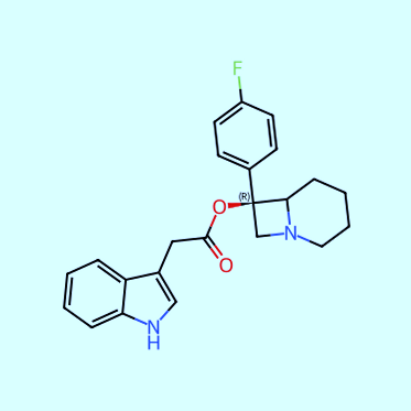 O=C(Cc1c[nH]c2ccccc12)O[C@]1(c2ccc(F)cc2)CN2CCCCC21